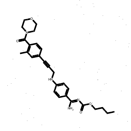 CCCCOC(=O)N=C(N)c1ccc(NCC#Cc2ccc(C(=O)N3CCOCC3)c(C)c2)cc1